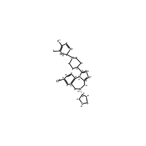 CC1=C(F)C=NC(N2CCC(c3nnc4n3-c3ccc(Cl)cc3CN([C@@H]3CCOC3)C4)CC2)N1